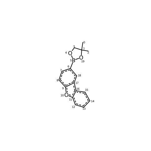 CC1(C)COB(c2ccc3oc4ccccc4c3c2)O1